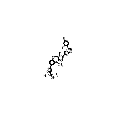 CN1C(=O)[C@@H](NC(=O)c2cn3c(-c4ccc(F)cc4F)csc3n2)COc2ccc(-c3cc(C(C)(C)O)on3)cc21